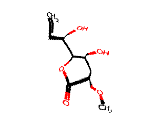 C=C[C@@H](O)C1OC(=O)[C@H](OC)[C@@H]1O